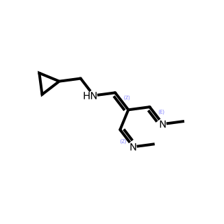 C\N=C/C(=C\NCC1CC1)/C=N/C